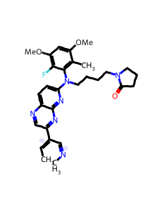 C/C=C(\C=N/C)c1cnc2ccc(N(CCCCN3CCCC3=O)c3c(C)c(OC)cc(OC)c3F)nc2n1